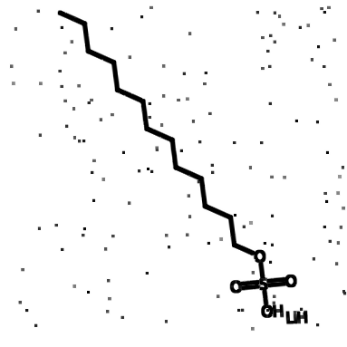 CCCCCCCCCCCCCOS(=O)(=O)O.[LiH]